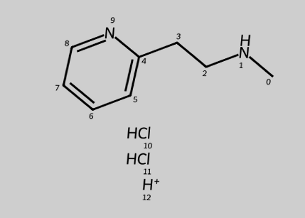 CNCCc1ccccn1.Cl.Cl.[H+]